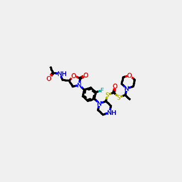 CC(=O)NCC1CN(c2ccc(N3CCNCC3SC(=O)SC(C)N3CCOCC3)c(F)c2)C(=O)O1